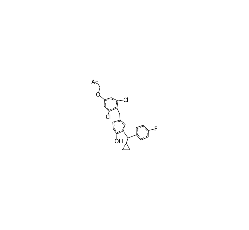 CC(=O)COc1cc(Cl)c(Cc2ccc(O)c(C(c3ccc(F)cc3)C3CC3)c2)c(Cl)c1